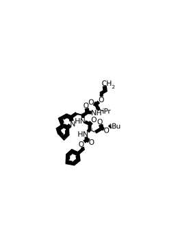 C=CCOC(=O)[C@@H](NC(=O)[C@H](Cc1ccc2ccccc2n1)NC(=O)[C@H](CC(=O)OC(C)(C)C)NC(=O)OCc1ccccc1)C(C)C